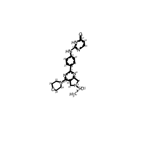 C[S+]([O-])N1Cc2nc(-c3ccc(Nc4nccc(=O)[nH]4)cc3)nc(N3CCOCC3)c2C1